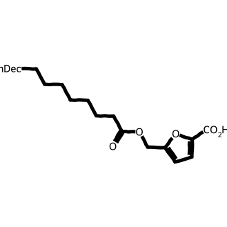 CCCCCCCCCCCCCCCCCC(=O)OCc1ccc(C(=O)O)o1